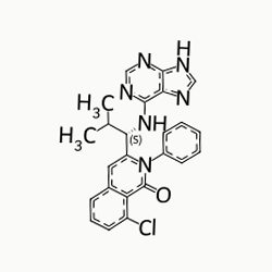 CC(C)[C@H](Nc1ncnc2[nH]cnc12)c1cc2cccc(Cl)c2c(=O)n1-c1ccccc1